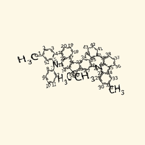 Cc1cccc(N(c2ccccc2)c2cc3c(c4ccccc24)-c2ccc(-n4c5ccc(C)cc5c5cccc(-c6ccccc6)c54)cc2C3(C)C)c1